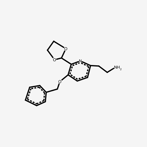 NCCc1ccc(OCc2ccccc2)c(C2OCCO2)n1